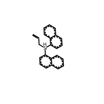 C=CC[SiH](c1cccc2ccccc12)c1cccc2ccccc12